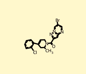 CC1CC(c2ccccc2Cl)=CCN1C(=O)c1cc2ncc(Br)cn2n1